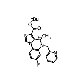 C[C@@H]1c2c(C(=O)OC(C)(C)C)ncn2-c2ccc(F)cc2N1Cc1ccccn1